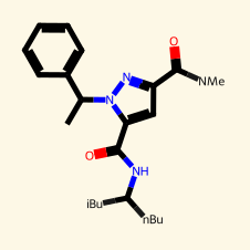 CCCCC(NC(=O)c1cc(C(=O)NC)nn1C(C)c1ccccc1)C(C)CC